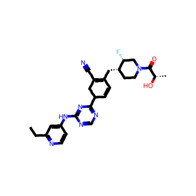 CCc1cc(Nc2ncnc(C3C=CC(C[C@H]4CCN(C(=O)[C@H](C)O)C[C@H]4F)=C(C#N)C3)n2)ccn1